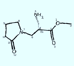 COC(=O)[C@@H](N)CN1CCCC1=O